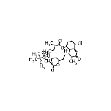 CC[C@H](C)C(=O)OC1CC[C@H](Cl)C2=CC(=O)[C@H](C)[C@H](CCC3C[C@@H](O[Si](C)(C)C(C)(C)C)CC(=O)O3)[C@H]21